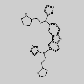 c1cc(B(OCC2CCCN2)c2ccc3sc4ccc(B(OCC5CCCN5)c5ccsc5)cc4c3c2)cs1